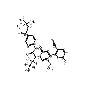 [2H]C([2H])([2H])C([2H])([2H])C(C(=O)Nc1ccc(C(=O)OC(C)(C)C)cc1)n1cc(OC)c(-c2cc(Cl)ccc2C#N)cc1=O